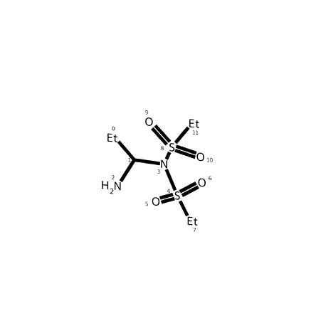 CCC(N)N(S(=O)(=O)CC)S(=O)(=O)CC